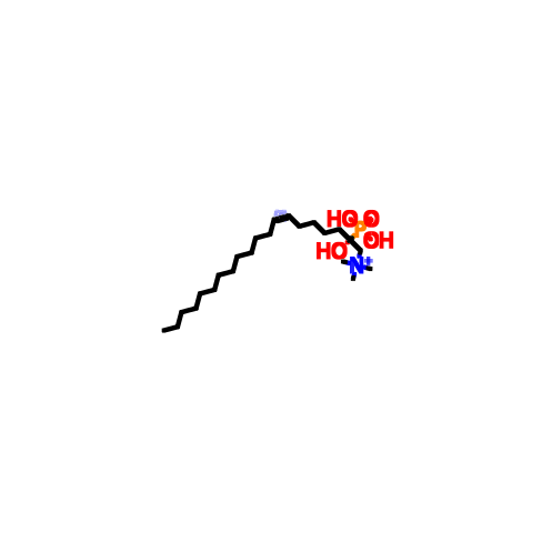 CCCCCCCCCCCC/C=C\CCCCC(O)(C[N+](C)(C)C)P(=O)(O)O